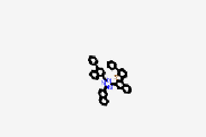 c1ccc(-c2ccc(-c3nc(-c4ccc5ccccc5c4)nc(-c4cc5ccccc5c5c4sc4c(-c6ccccc6)cccc45)n3)c3ccccc23)cc1